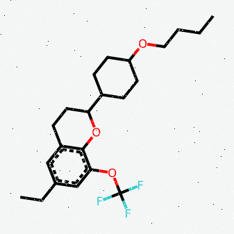 CCCCOC1CCC(C2CCc3cc(CC)cc(OC(F)(F)F)c3O2)CC1